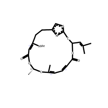 CN/C1=C\C(=O)O[C@@H](C)C/C(C)=C/C=C\C(=O)OC(C=C(C)C)Cc2nc(cs2)CC1